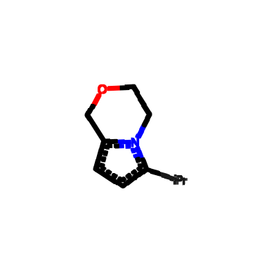 CC(C)c1ccc2n1CCOC2